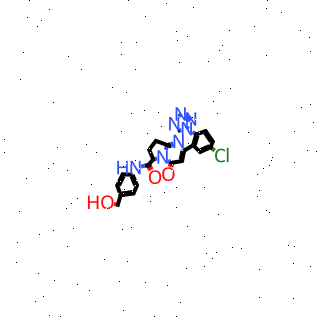 O=C(Nc1ccc(CO)cc1)C1CCc2nc(-c3cc(Cl)ccc3-n3cnnn3)cc(=O)n21